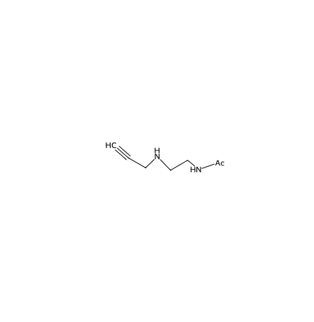 C#CCNCCNC(C)=O